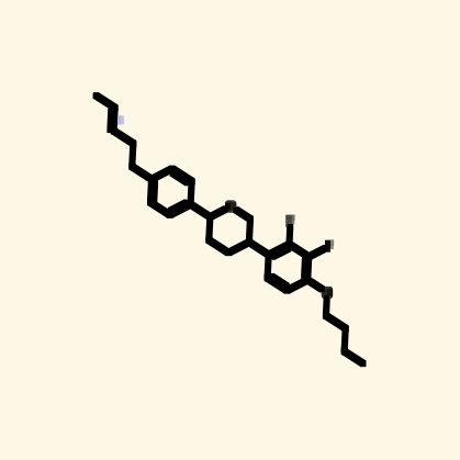 C/C=C/CCc1ccc(C2CCC(c3ccc(OCCCC)c(F)c3F)CO2)cc1